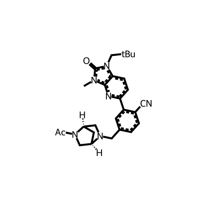 CC(=O)N1C[C@H]2C[C@@H]1CN2Cc1ccc(C#N)c(-c2ccc3c(n2)n(C)c(=O)n3CC(C)(C)C)c1